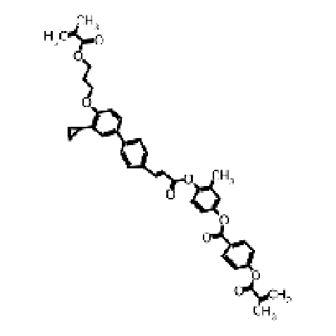 C=C(C)C(=O)OCCCOc1ccc(-c2ccc(/C=C/C(=O)Oc3ccc(OC(=O)c4ccc(OC(=O)C(=C)C)cc4)cc3C)cc2)cc1C1CC1